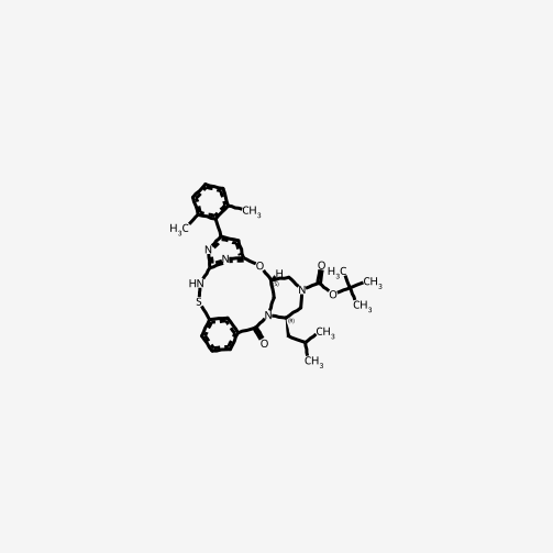 Cc1cccc(C)c1-c1cc2nc(n1)NSc1cccc(c1)C(=O)N1C[C@@H](CN(C(=O)OC(C)(C)C)C[C@H]1CC(C)C)O2